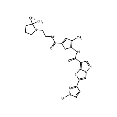 Cc1cc(C(=O)NCCN2CCCC2(C)C)sc1NC(=O)c1cnn2cc(-c3cnn(C)n3)sc12